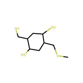 CSCC1CC(S)C(CS)CC1S